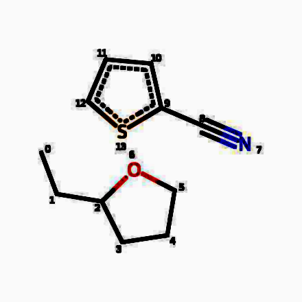 CCC1CCCO1.N#Cc1cccs1